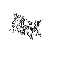 CC1CC(c2ccccc2)=NNC1=O.COc1ccc(C2=NNC(=O)C(C)C2)cc1.COc1ccc(C2=NNC(=O)CC2)c(OC)c1.O=C1CCC(c2ccco2)=NN1.O=C1CCC(c2cccs2)=NN1